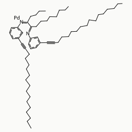 CCCCCCCCCCCCCCCC#Cc1cccc(N=C(CCCC)C(CCCCCCCC)=Nc2cccc(C#CCCCCCCCCCCCCCCC)c2)c1.[Pd]